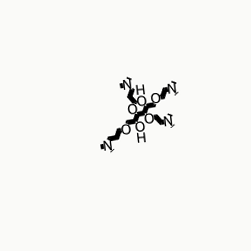 CN(C)CCCOCC(O)C(OCCCN(C)C)C(OCCN(C)C)C(O)COCCN(C)C